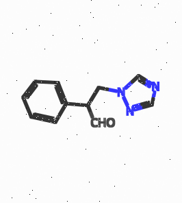 O=CC(Cn1cncn1)c1ccccc1